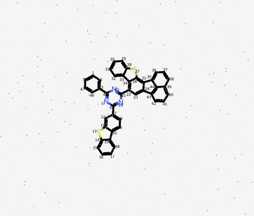 c1ccc(-c2nc(-c3ccc4c(c3)sc3ccccc34)nc(-c3cc4c(c5sc6ccccc6c35)-c3cccc5cccc-4c35)n2)cc1